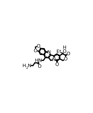 CC[C@@]1(O)C(=O)OCc2c1cc1n(c2=O)Cc2c-1nc1cc3c(cc1c2CNC(=O)CCN)OCO3